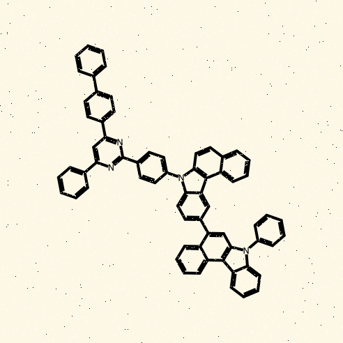 c1ccc(-c2ccc(-c3cc(-c4ccccc4)nc(-c4ccc(-n5c6ccc(-c7cc8c(c9ccccc79)c7ccccc7n8-c7ccccc7)cc6c6c7ccccc7ccc65)cc4)n3)cc2)cc1